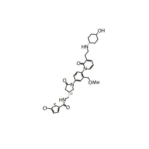 COCc1cc(N2C[C@H](CNC(=O)c3ccc(Cl)s3)CC2=O)ccc1-n1cccc(CCN[C@H]2CC[C@H](O)CC2)c1=O